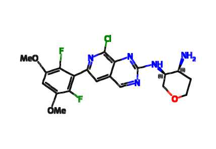 COc1cc(OC)c(F)c(-c2cc3cnc(N[C@@H]4COCC[C@@H]4N)nc3c(Cl)n2)c1F